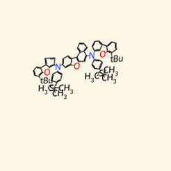 CC(C)(C)c1cccc2c1oc1c(N(c3ccc([Si](C)(C)C)cc3)c3ccc4c(c3)oc3cc(N(c5ccc([Si](C)(C)C)cc5)c5cccc6c5oc5c(C(C)(C)C)cccc56)c5ccccc5c34)cccc12